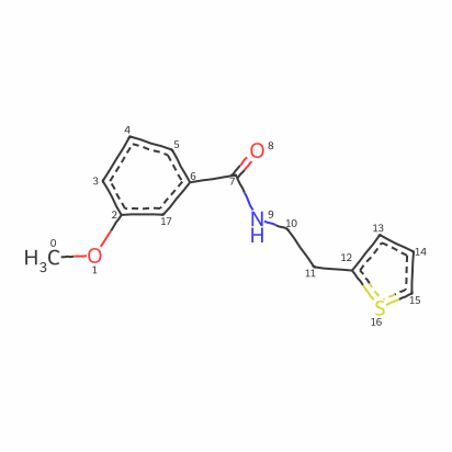 COc1cccc(C(=O)NCCc2cccs2)c1